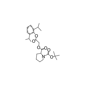 CC(C)c1cccc(C(C)C)c1OC(=O)COC(=O)C1CCCCN1C(=O)OC(C)(C)C